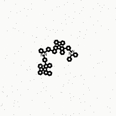 c1ccc(-c2nc(-c3cccc(-c4cc5c(c6ccccc46)-c4c(ccc6c(-c7cccc(-c8nc(-c9ccc(-c%10cc%11c(c%12ccccc%10%12)-c%10c(ccc%12ccccc%10%12)C%11%10c%11ccccc%11-c%11ccccc%11%10)cc9)nc9ccccc89)c7)cccc46)C54c5ccccc5-c5ccccc54)c3)nc3ccccc23)cc1